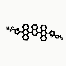 Cc1ccc(-c2c3ccccc3c(-c3ccc(-c4c5ccccc5c(-c5ccc(C)s5)c5ccccc45)c4ccccc34)c3ccccc23)s1